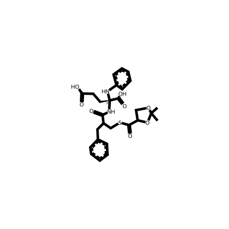 CC1(C)OCC(C(=O)SCC(Cc2ccccc2)C(=O)N[C@](CCC(=O)O)(Nc2ccccc2)C(=O)O)O1